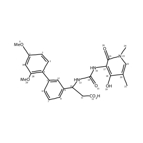 COc1ccc(-c2cccc(C(CC(=O)O)NC(=O)Nc3c(O)c(C)cn(C)c3=O)c2)c(OC)c1